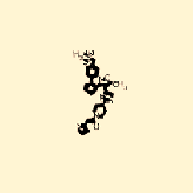 Cc1onc(-c2ccccc2-c2ccc(CS(N)(=O)=O)cc2)c1-c1csc(C2CCN(C(=O)Cc3cccs3)CC2)n1